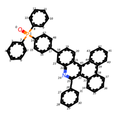 O=P(c1ccccc1)(c1ccccc1)c1ccc(-c2ccc3c(c2)nc(-c2ccccc2)c2c4ccccc4c4ccccc4c32)cc1